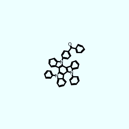 O=C(c1ccccc1)c1ccc(-n2c3ccccc3c3c4c(c5ccccc5n4-c4ccccc4)c4c(c5ccccc5n4-c4ccccc4)c32)cc1